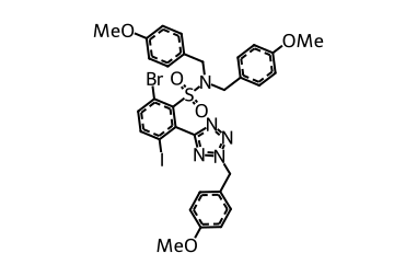 COc1ccc(CN(Cc2ccc(OC)cc2)S(=O)(=O)c2c(Br)ccc(I)c2-c2nnn(Cc3ccc(OC)cc3)n2)cc1